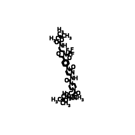 CC(C)(C)OC(=O)NCC1CN(C(=O)C(F)(F)F)C(c2ccc(-n3ccc(NC(=O)N4CCN(C(=O)C(C)(C)NC(=O)OC(C)(C)C)CC4)nc3=O)cc2)CO1